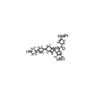 CC(C)Nc1ccc(C(=O)Nc2sc3c(c2-c2nc4ccc(-c5ccc(N6CCNCC6)nc5)cc4s2)CCNC3)cc1